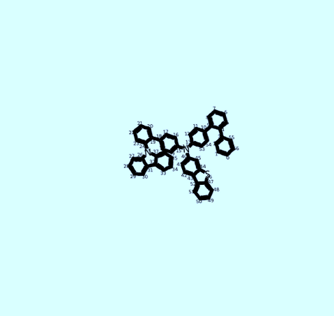 c1ccc(-c2ccccc2-c2ccc(N(c3ccc(-c4ccccc4-n4c5ccccc5c5ccccc54)cc3)c3ccc4c(c3)sc3ccccc34)cc2)cc1